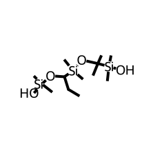 CCC(O[Si](C)(C)O)[Si](C)(C)OC(C)(C)[Si](C)(C)O